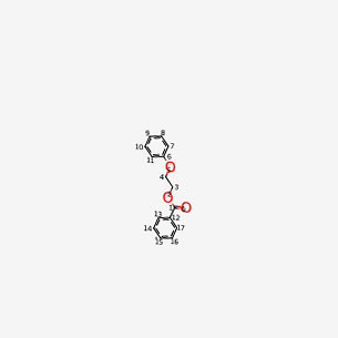 O=C(OCCOc1ccccc1)c1cc[c]cc1